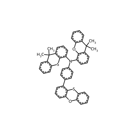 CC1(C)c2ccccc2Oc2c(N(c3ccc(-c4cccc5c4Sc4ccccc4O5)cc3)c3cccc4c3Sc3ccccc3C4(C)C)cccc21